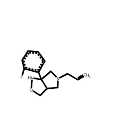 C=CCN1CC2CONC2(c2ccccc2F)C1